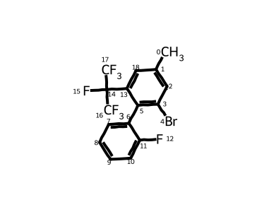 Cc1[c]c(Br)c(-c2ccccc2F)c(C(F)(C(F)(F)F)C(F)(F)F)c1